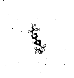 CNC(=O)[C@@H]1COC(=O)N1c1ccc(C2=CCN(C(=O)[C@@H](O)CO)CC2)c(F)c1